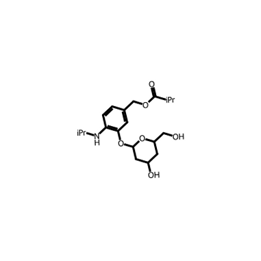 CC(C)Nc1ccc(COC(=O)C(C)C)cc1OC1CC(O)CC(CO)O1